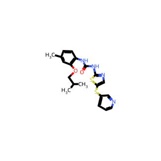 Cc1ccc(NC(=O)Nc2ncc(Sc3cccnc3)s2)c(OCC(C)C)c1